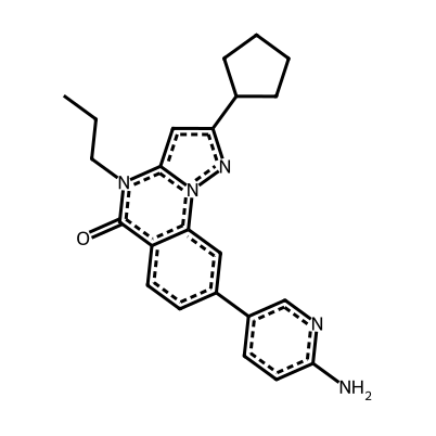 CCCn1c(=O)c2ccc(-c3ccc(N)nc3)cc2n2nc(C3CCCC3)cc12